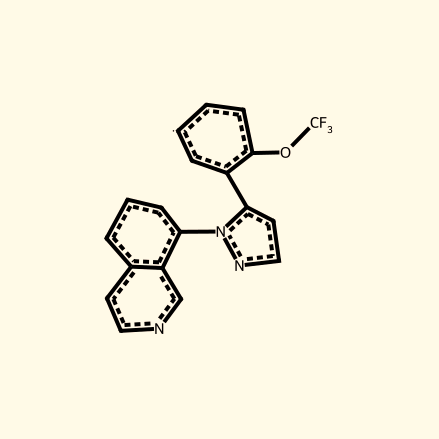 FC(F)(F)Oc1cc[c]cc1-c1ccnn1-c1cccc2ccncc12